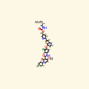 CCOc1ccn(-c2ccc(F)cc2)c(=O)c1C(=O)Nc1ccc(Oc2ccnc3cc(-c4ccc(COC(=O)NCCOC)cn4)sc23)c(F)c1